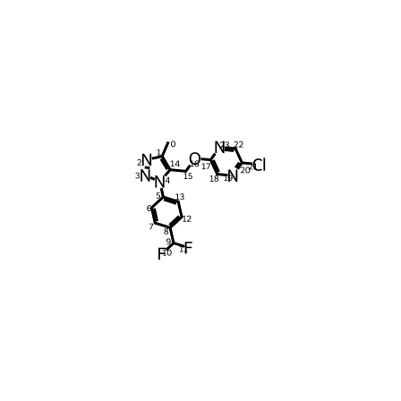 Cc1nnn(-c2ccc(C(F)F)cc2)c1COc1cnc(Cl)cn1